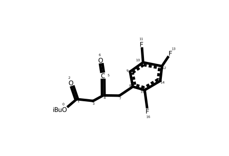 CC(C)COC(=O)CC(=C=O)Cc1cc(F)c(F)cc1F